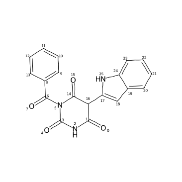 O=C1NC(=O)N(C(=O)c2ccccc2)C(=O)C1c1cc2ccccc2[nH]1